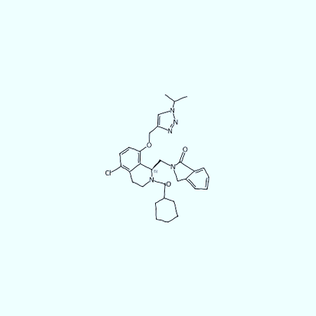 CC(C)n1cc(COc2ccc(Cl)c3c2[C@@H](CN2Cc4ccccc4C2=O)N(C(=O)C2CCCCC2)CC3)nn1